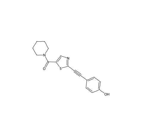 O=C(c1cnc(C#Cc2ccc(O)cc2)s1)N1CCCCC1